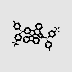 Cc1ccc(N(c2ccc([Si](C)(C)C)cc2)c2ccc3c(c2)C2(c4ccccc4-c4ccccc42)c2c-3c3ccccc3c3cc(N(c4ccc(C)cc4)c4ccc([Si](C)(C)C)cc4)ccc23)cc1